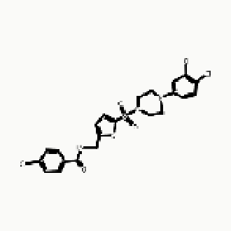 O=C(NCc1ccc(S(=O)(=O)N2CCN(c3ccc(Cl)c(Cl)c3)CC2)s1)c1ccc(Cl)cc1